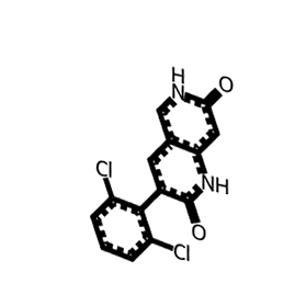 O=c1cc2[nH]c(=O)c(-c3c(Cl)cccc3Cl)cc2c[nH]1